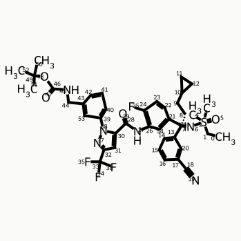 CCS(C)(C)(=O)N[C@@](CCC1CC1)(c1cccc(C#N)c1)c1ccc(F)c(NC(=O)c2cc(C(F)(F)F)nn2-c2cccc(CNC(=O)OC(C)(C)C)c2)c1